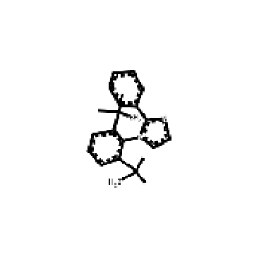 BC(C)(C)c1cccc(C(B)(C)C)c1-n1ccnc1-c1ccccc1